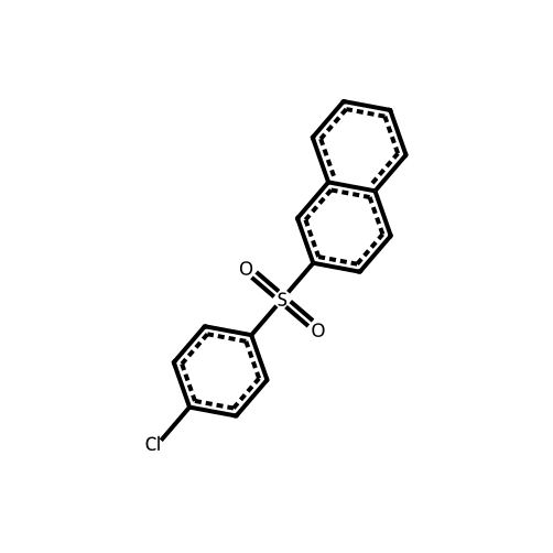 O=S(=O)(c1ccc(Cl)cc1)c1ccc2ccccc2c1